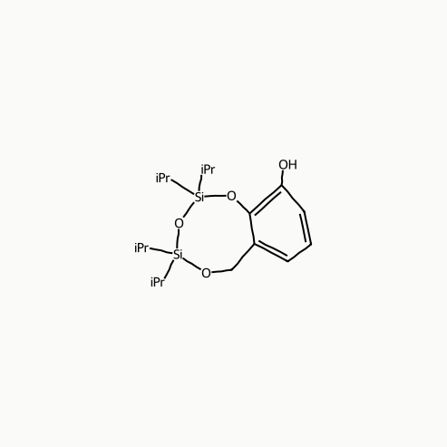 CC(C)[Si]1(C(C)C)OCc2cccc(O)c2O[Si](C(C)C)(C(C)C)O1